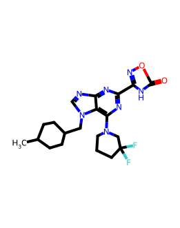 CC1CCC(Cn2cnc3nc(-c4noc(=O)[nH]4)nc(N4CCCC(F)(F)C4)c32)CC1